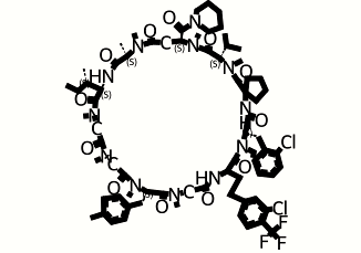 CC[C@H](C)[C@@H]1NC(=O)[C@H](C)N(C)C(=O)C[C@@H](C(=O)N2CCCCC2)N(C)C(=O)[C@H](C(C)C)N(C)C(=O)C2(CCCC2)NC(=O)[C@H](Cc2ccccc2Cl)N(CC)C(=O)C(CCc2ccc(C(F)(F)F)c(Cl)c2)NC(=O)CN(C)C(=O)[C@H](Cc2ccc(C)cc2)N(C)C(=O)CN(C)C(=O)CN(C)C1=O